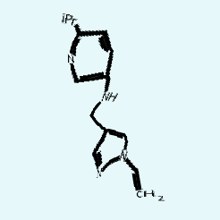 C=Cn1cc(CNc2ccc(C(C)C)nc2)cn1